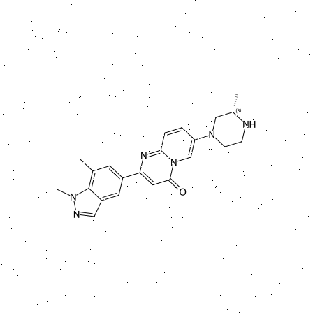 Cc1cc(-c2cc(=O)n3cc(N4CCN[C@@H](C)C4)ccc3n2)cc2cnn(C)c12